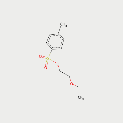 Cc1ccc(S(=O)(=O)OCCOCC(F)(F)F)cc1